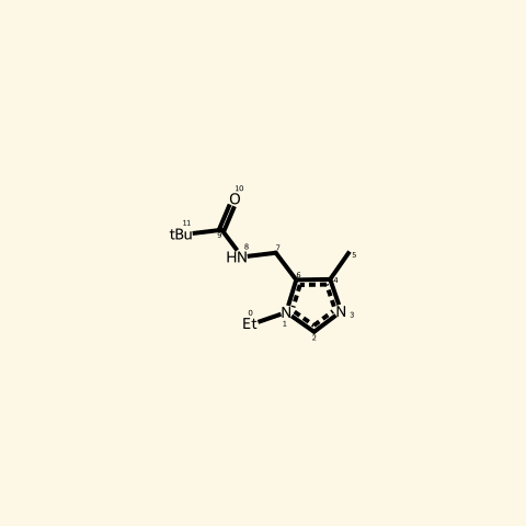 CCn1cnc(C)c1CNC(=O)C(C)(C)C